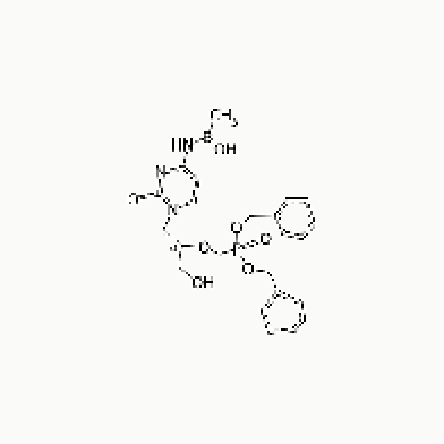 CB(O)Nc1ccn(C[C@@H](CO)OCP(=O)(OCc2ccccc2)OCc2ccccc2)c(=O)n1